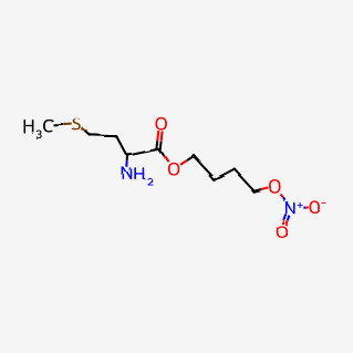 CSCCC(N)C(=O)OCCCCO[N+](=O)[O-]